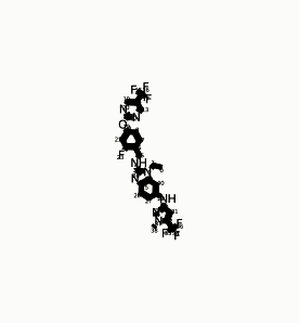 CCn1c(NCc2ccc(Oc3ncc(C(F)(F)F)cn3)cc2F)nc2ccc(Nc3cc(C(F)(F)F)n(C)n3)cc21